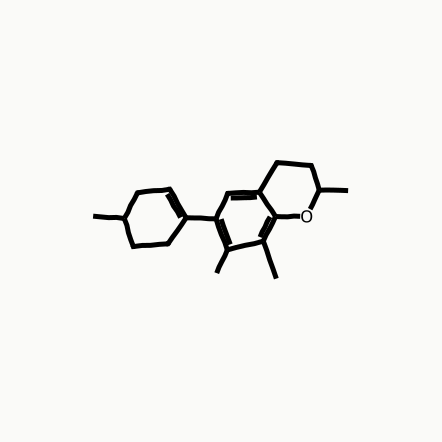 Cc1c(C2=CCC(C)CC2)cc2c(c1C)OC(C)CC2